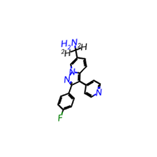 [2H]C([2H])(N)c1ccc2c(-c3ccncc3)c(-c3ccc(F)cc3)nn2c1